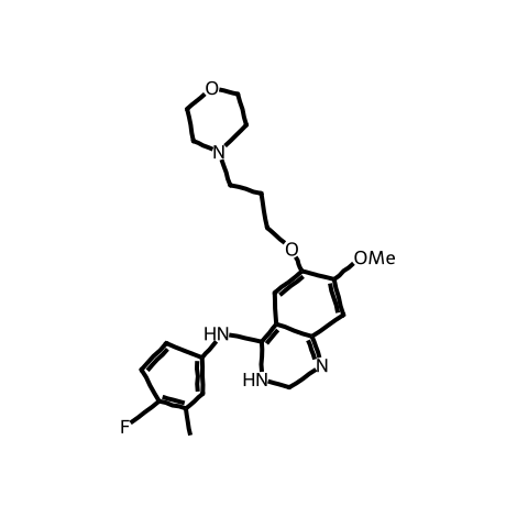 COc1cc2c(cc1OCCCN1CCOCC1)=C(Nc1ccc(F)c(C)c1)NCN=2